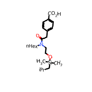 CCCCCCN(CCO[Si](C)(C)CC(C)C)C(=O)Cc1ccc(C(=O)O)cc1